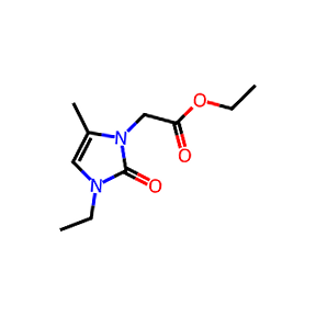 CCOC(=O)Cn1c(C)cn(CC)c1=O